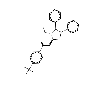 CCN1C(=CC(=O)c2ccc(C(Cl)(Cl)Cl)cc2)SC(c2ccccc2)C1c1ccccc1